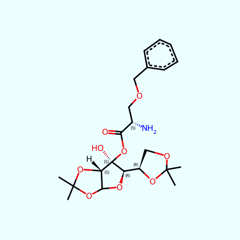 CC1(C)OC[C@H]([C@H]2OC3OC(C)(C)O[C@@H]3[C@@]2(O)OC(=O)[C@@H](N)COCc2ccccc2)O1